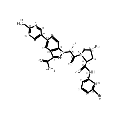 CC(=O)c1nn([C@H](F)C(=O)N2C[C@H](F)C[C@H]2C(=O)Nc2cccc(Br)n2)c2ccc(-c3cnc(C)nc3)cc12